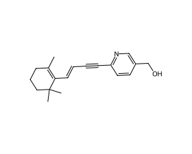 CC1=C(/C=C/C#Cc2ccc(CO)cn2)C(C)(C)CCC1